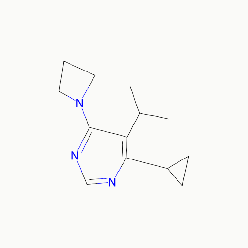 CC(C)c1c(C2CC2)ncnc1N1CCC1